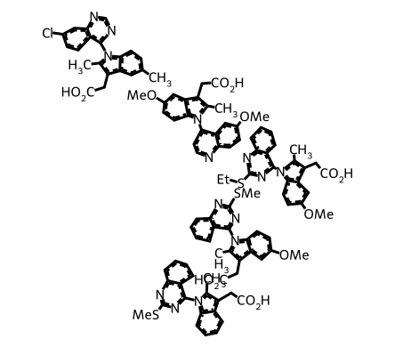 CCSc1nc(-n2c(C)c(CC(=O)O)c3cc(OC)ccc32)c2ccccc2n1.COc1ccc2c(c1)c(CC(=O)O)c(C)n2-c1nc(SC)nc2ccccc12.COc1ccc2nccc(-n3c(C)c(CC(=O)O)c4cc(OC)ccc43)c2c1.CSc1nc(-n2c(C)c(CC(=O)O)c3ccccc32)c2ccccc2n1.Cc1ccc2c(c1)c(CC(=O)O)c(C)n2-c1ncnc2cc(Cl)ccc12